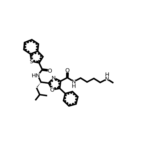 CNCCCCNC(=O)c1nc([C@H](CC(C)C)NC(=O)c2cc3ccccc3s2)oc1-c1ccccc1